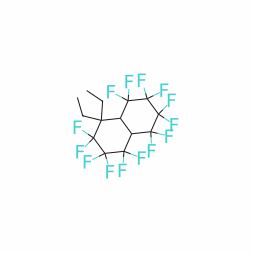 CCC1(CC)C2C(C(F)(F)C(F)(F)C(F)(F)C2(F)F)C(F)(F)C(F)(F)C1(F)F